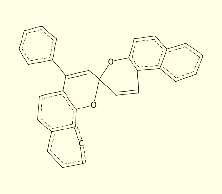 C1=CC2(C=C(c3ccccc3)c3ccc4ccccc4c3O2)Oc2ccc3ccccc3c21